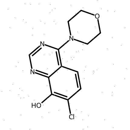 Oc1c(Cl)ccc2c(N3CCOCC3)ncnc12